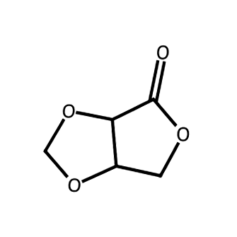 O=C1OCC2OCOC12